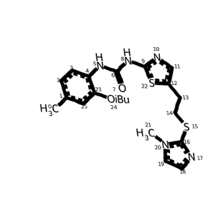 Cc1ccc(NC(=O)Nc2ncc(CCSc3nccn3C)s2)c(OCC(C)C)c1